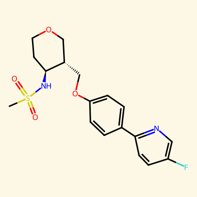 CS(=O)(=O)N[C@H]1CCOC[C@@H]1COc1ccc(-c2ccc(F)cn2)cc1